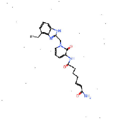 CC(C)Cc1cccc2[nH]c(Cn3cccc(NC(=O)CCC/C=C/C(N)=O)c3=O)nc12